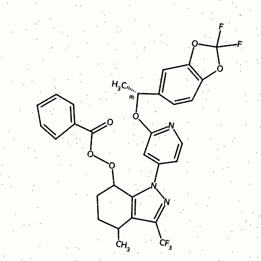 CC1CCC(OOC(=O)c2ccccc2)c2c1c(C(F)(F)F)nn2-c1ccnc(O[C@H](C)c2ccc3c(c2)OC(F)(F)O3)c1